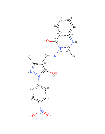 Cc1nn(-c2ccc([N+](=O)[O-])cc2)c(O)c1C=Nn1c(C)nc2ccccc2c1=O